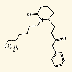 O=C(O)CCCCCCN1C(=O)CCCC1CCC(=O)Cc1ccccc1